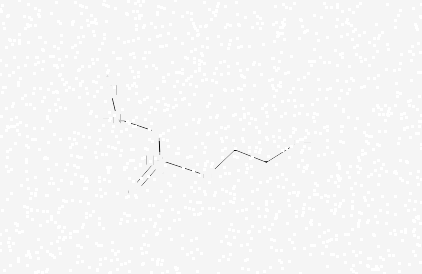 CCCO[PH](=O)ONCl